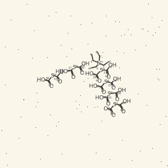 CC[N+](CC)(CC)CC.O=C(O)SC(=O)O.O=C(O)SC(=O)O.O=C(O)SC(=O)O.O=C(O)SC(=O)O.O=C(O)SC(=O)O.O=C([O-])SC(=O)O